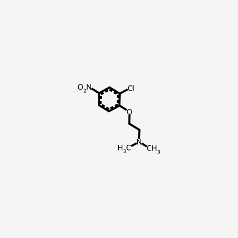 CN(C)CCOc1ccc([N+](=O)[O-])cc1Cl